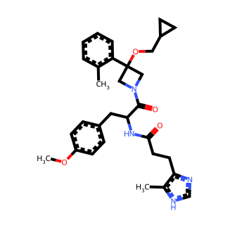 COc1ccc(CC(NC(=O)CCc2nc[nH]c2C)C(=O)N2CC(OCC3CC3)(c3ccccc3C)C2)cc1